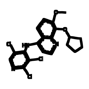 COc1ccc2c(Nc3c(Cl)cnc(Cl)c3Cl)ccnc2c1OC1CCCC1